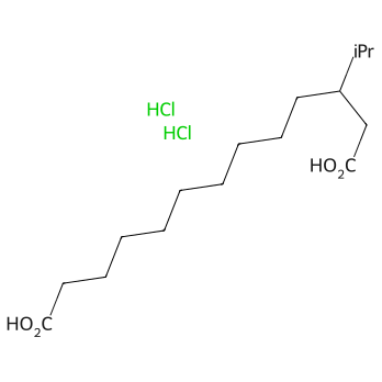 CC(C)C(CCCCCCCCCC(=O)O)CC(=O)O.Cl.Cl